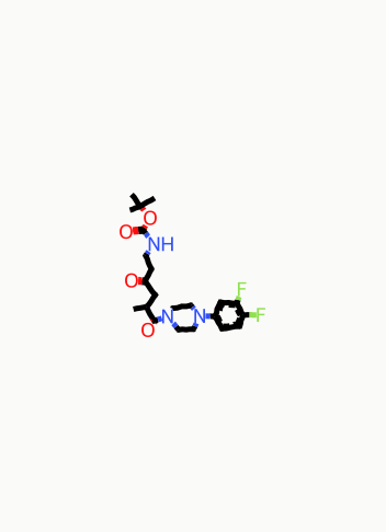 CC(CC(=O)CCNC(=O)OC(C)(C)C)C(=O)N1CCN(c2ccc(F)c(F)c2)CC1